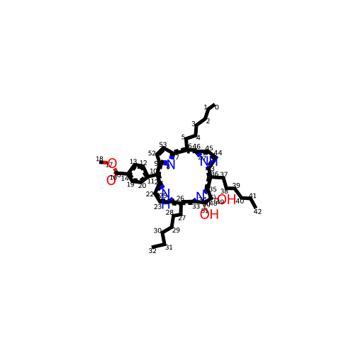 CCCCCCc1c2nc(c(-c3ccc(C(=O)OC)cc3)c3ccc([nH]3)c(CCCCCC)c3nc(c(CCCCCC)c4ccc1[nH]4)[C@H](O)[C@@H]3O)C=C2